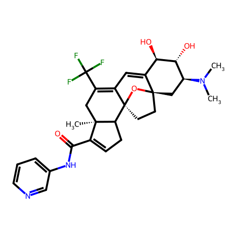 CN(C)[C@H]1C[C@@]23CC[C@@]4(O2)C(=C(C(F)(F)F)C[C@]2(C)C(C(=O)Nc5cccnc5)=CCC24)C=C3[C@@H](O)[C@@H]1O